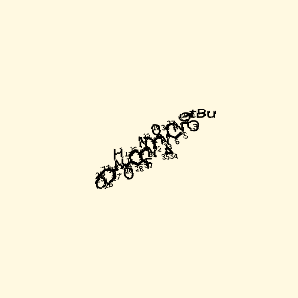 CC(C)(C)OC(=O)N1CCC(N(C(=O)c2cnc(-c3ccc(C(=O)NC4CCOCC4)cc3F)nc2)C2CC2)CC1